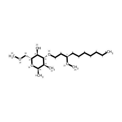 CCCCCCC[C@H](CCO[C@@H]1[C@@H](C)[C@@H](C)O[C@H](COC)[C@H]1O)OC